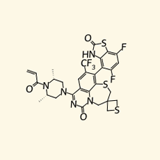 C=CC(=O)N1[C@H](C)CN(c2nc(=O)n3c4c(c(-c5c(F)cc(F)c6sc(=O)[nH]c56)c(C(F)(F)F)cc24)SCC2(CSC2)C3)C[C@@H]1C